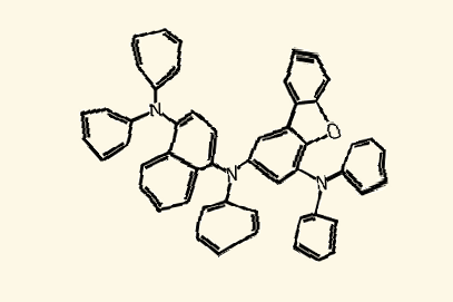 c1ccc(N(c2ccccc2)c2ccc(N(c3ccccc3)c3cc(N(c4ccccc4)c4ccccc4)c4oc5ccccc5c4c3)c3ccccc23)cc1